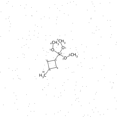 CO[Si](OC)(OC)C1CC(C)C1